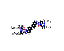 COC[C@H]1C[C@@H](c2nc3ccc4cc(-c5ccc6c(ccc7nc([C@@H]8C[C@H](COC)CN8C(=O)[C@@H](NC(=O)OC)C(C)C)[nH]c76)c5)ccc4c3[nH]2)N(C(=O)C(NC=O)C(C)C)C1